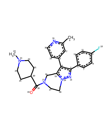 Cc1cc(-c2c(-c3ccc(F)cc3)nn3c2CN(C(=O)C2CCN(C)CC2)CC3)ccn1